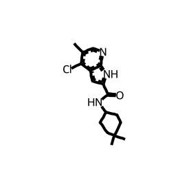 Cc1cnc2[nH]c(C(=O)NC3CCC(C)(C)CC3)cc2c1Cl